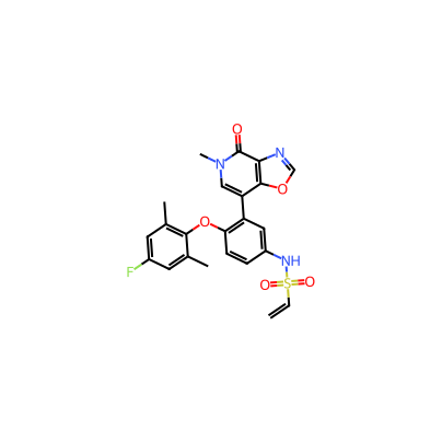 C=CS(=O)(=O)Nc1ccc(Oc2c(C)cc(F)cc2C)c(-c2cn(C)c(=O)c3ncoc23)c1